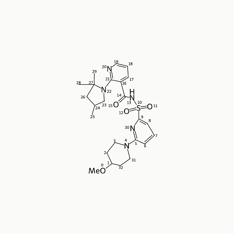 COC1CCN(c2cccc(S(=O)(=O)NC(=O)c3cccnc3N3CC(C)CC3(C)C)n2)CC1